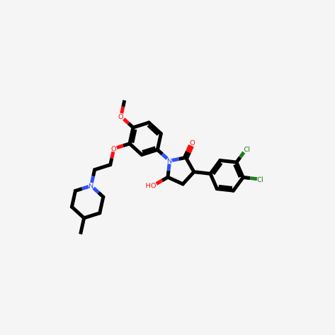 COc1ccc(N2C(=O)C(c3ccc(Cl)c(Cl)c3)CC2O)cc1OCCN1CCC(C)CC1